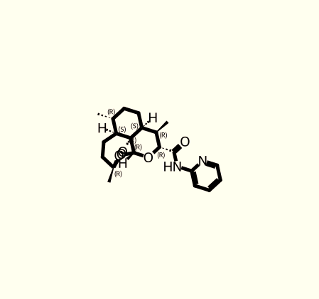 C[C@H]1[C@H](C(=O)Nc2ccccn2)O[C@@H]2O[C@@]3(C)CC[C@H]4[C@H](C)CC[C@@H]1[C@@]24OO3